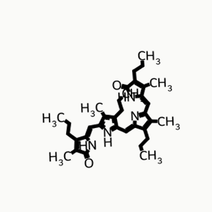 CCCC1=C(C)C(/C=C2\NC(=O)C(CCC)=C2C)=NC1=Cc1[nH]c(/C=C2\NC(=O)C(C)=C2CCC)c(C)c1CCC